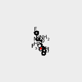 CCN(CC(O)(CNC(=O)C1C=NN(c2ccc(F)cc2)C1N)C(F)(F)F)C(=O)c1ccccc1Cl